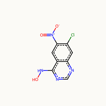 O=[N+]([O-])c1cc2c(NO)ncnc2cc1Cl